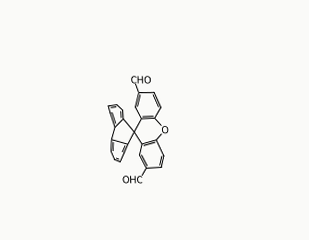 O=Cc1ccc2c(c1)C1(c3cc(C=O)ccc3O2)c2ccccc2-c2ccccc21